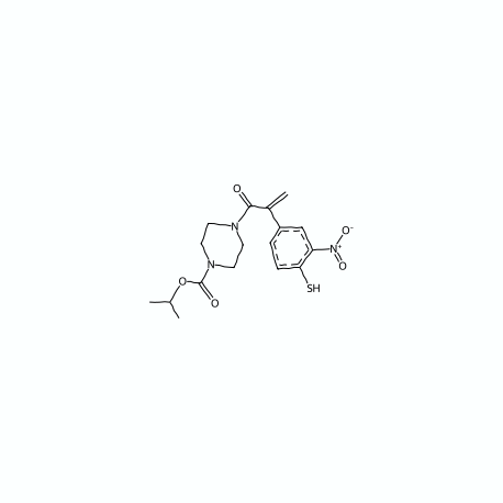 C=C(C(=O)N1CCN(C(=O)OC(C)C)CC1)c1ccc(S)c([N+](=O)[O-])c1